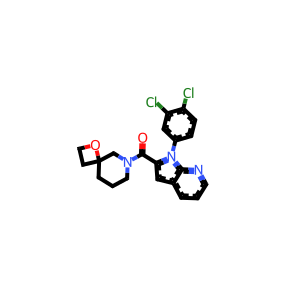 O=C(c1cc2cccnc2n1-c1ccc(Cl)c(Cl)c1)N1CCCC2(CCO2)C1